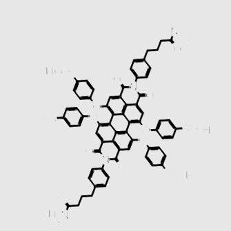 NC(=O)CCCc1ccc(N2C(=O)c3cc(Oc4ccc(S(=O)(=O)O)cc4)c4c5c(Oc6ccc(S(=O)(=O)O)cc6)cc6c7c(cc(Oc8ccc(S(=O)(=O)O)cc8)c(c8c(Oc9ccc(S(=O)(=O)O)cc9)cc(c3c48)C2=O)c75)C(=O)N(c2ccc(CCCC(N)=O)cc2)C6=O)cc1